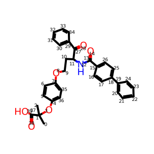 CC(C)(Oc1ccc(OCCC(NC(=O)c2ccc(-c3ccccc3)cc2)C(=O)c2ccccc2)cc1)C(=O)O